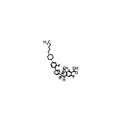 CCCCC[C@H]1CC[C@H](c2ccc(-c3nc(S(=O)(=O)Nc4cc(F)c(C(=O)O)cc4OC)cs3)c(F)c2)CC1